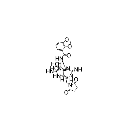 N=C1N[C@H]2[C@H](CN3C(=O)CCC3=O)NC(=N)N3C[C@H](NC(=O)c4cccc5c4OCO5)C(O)(O)[C@@]23N1